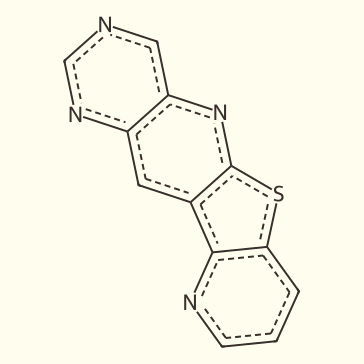 c1cnc2c(c1)sc1nc3cncnc3cc12